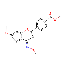 CON=C1CC(c2ccc(C(=O)OC)cc2)Oc2cc(OC)ccc21